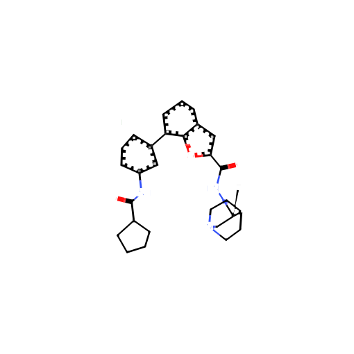 Cl.O=C(N[C@H]1CN2CCC1CC2)c1cc2cccc(-c3cccc(NC(=O)C4CCCC4)c3)c2o1